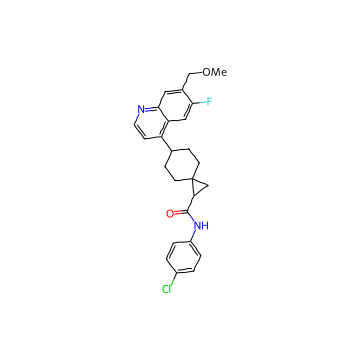 COCc1cc2nccc(C3CCC4(CC3)CC4C(=O)Nc3ccc(Cl)cc3)c2cc1F